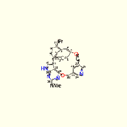 C=C/C1=C\c2cc(ccc2C(C)C)-c2c[nH]c3nc(NC)nc(c23)OCc2cncc(c2)CO1